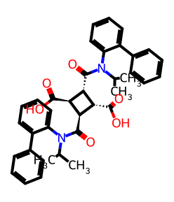 CC(C)N(c1ccccc1-c1ccccc1)C(=O)[C@H]1[C@H](C(=O)O)[C@H](C(=O)N(c2ccccc2-c2ccccc2)C(C)C)[C@H]1C(=O)O